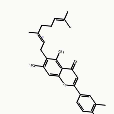 CC(C)=CCC/C(C)=C/Cc1c(O)cc2oc(-c3ccc(O)c(C)c3)cc(=O)c2c1O